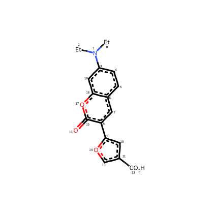 CCN(CC)c1ccc2cc(-c3cc(C(=O)O)co3)c(=O)oc2c1